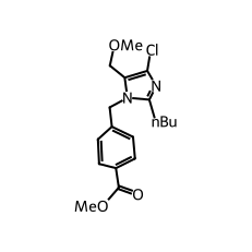 CCCCc1nc(Cl)c(COC)n1Cc1ccc(C(=O)OC)cc1